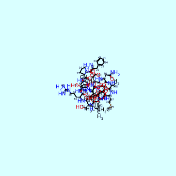 CC[C@H](C)[C@H](NC(=O)[C@@H](NC(=O)[C@@H]1CCCN1C(=O)[C@@H](N)Cc1ccccc1)[C@@H](C)O)C(=O)N1CCC[C@H]1C(=O)N[C@@H](CC(C)C)C(=O)N[C@@H](CO)C(=O)N[C@@H](CCCNC(=N)N)C(=O)N[C@@H](CC(C)C)C(=O)N[C@@H](Cc1ccccc1)C(=O)N[C@@H](CC(=O)O)C(=O)N[C@@H](CC(N)=O)C(=O)N[C@@H](C)C(=O)N[C@@H](CCSC)C(=O)N[C@@H](CC(C)C)C(=O)O